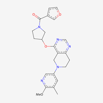 COc1ncc(N2CCc3ncnc(OC4CCN(C(=O)c5ccoc5)C4)c3C2)cc1C